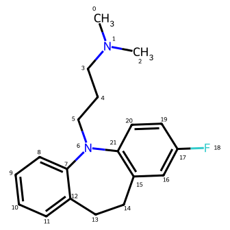 CN(C)CCCN1c2ccccc2CCc2cc(F)ccc21